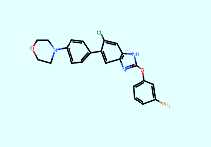 Pc1cccc(Oc2nc3cc(-c4ccc(N5CCOCC5)cc4)c(Cl)cc3[nH]2)c1